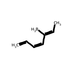 BC(/C=C\C=C)=C\C